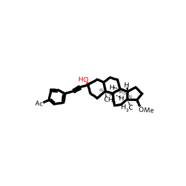 COC1CC[C@H]2[C@@H]3CCC4CC(O)(C#Cc5ccc(C(C)=O)cc5)CC[C@]4(C)[C@@H]3CC[C@]12C